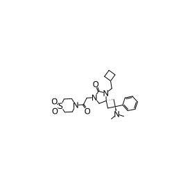 CN(C)[C@]1(c2ccccc2)C[C@@]2(CN(CC(=O)N3CCS(=O)(=O)CC3)C(=O)N2CC2CCC2)C1